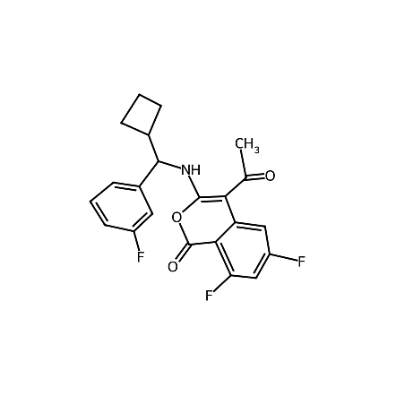 CC(=O)c1c(NC(c2cccc(F)c2)C2CCC2)oc(=O)c2c(F)cc(F)cc12